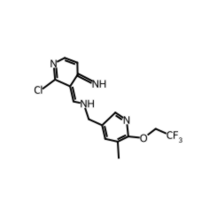 Cc1cc(CN/C=C2\C(=N)C=CN=C2Cl)cnc1OCC(F)(F)F